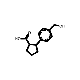 O=C(O)C1CCCC1c1ccc(CO)cc1